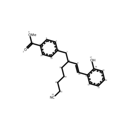 COC(=O)c1ccc(CC(C=Cc2ccccc2O)CCCCC#N)cc1